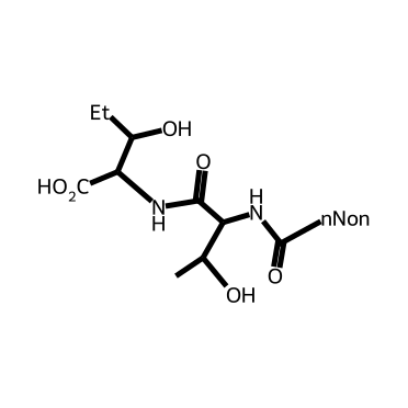 CCCCCCCCCC(=O)NC(C(=O)NC(C(=O)O)C(O)CC)C(C)O